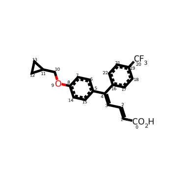 O=C(O)C=CC=C(c1ccc(OCC2CC2)cc1)c1ccc(C(F)(F)F)cc1